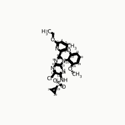 CCOc1cccc(-c2nc3nc(Cl)c(NS(=O)(=O)C4CC4)nc3n2-c2c(OC)cccc2OC)n1